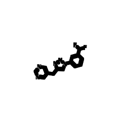 FC(F)c1cccc(-n2cc(Cc3cncnc3)nn2)c1